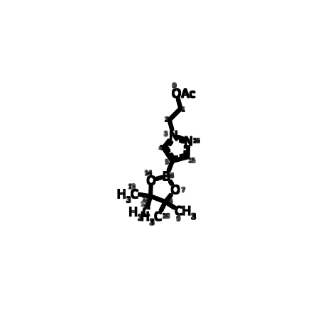 CC(=O)OCCn1cc(B2OC(C)(C)C(C)(C)O2)cn1